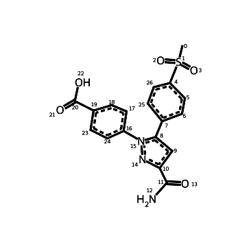 CS(=O)(=O)c1ccc(-c2cc(C(N)=O)nn2-c2ccc(C(=O)O)cc2)cc1